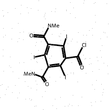 CNC(=O)c1c(I)c(C(=O)Cl)c(I)c(C(=O)NC)c1I